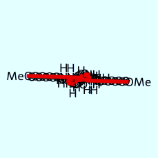 COCCOCCOCCOCCOCCOCCOCCOCCOCCOCC(=O)NCCCCC(NC(=O)CCCNC(=O)C(C(C(=O)NCCCC(=O)NC(CCCCNC(=O)COCCOCCOCCOCCOCCOCCOCCOCCOCCOC)C(=O)NC(C)C(=O)NC(C)C(=O)NC(C)C(=O)O)N1C(=O)C=CC1=O)N1C(=O)C=CC1=O)C(=O)NC(C)C(=O)NC(C)C(=O)NC(C)C(=O)O